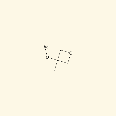 CC(=O)OC1(C)COC1